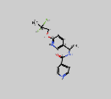 CC(NC(=O)c1ccncc1)c1ccc(OCC(C)(F)F)nc1